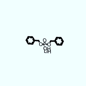 O=P(O)(OCc1ccccc1)OCc1ccccc1.[LiH]